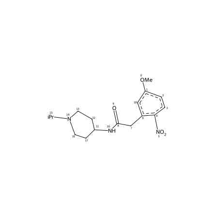 COc1ccc([N+](=O)[O-])c(CC(=O)NC2CCN(C(C)C)CC2)c1